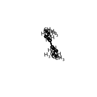 COC(=O)N[C@H](C(=O)N1CCC[C@H]1c1nc2cc(C#Cc3ccc4[nH]c([C@@H]5CCCN5C(=O)[C@H](NC(=O)OC)C(C)C)nc4c3)ccc2[nH]1)C(C)C